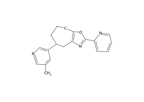 Cc1cncc(C2CCCc3oc(-c4ccccn4)nc3C2)c1